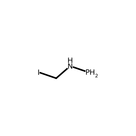 PNCI